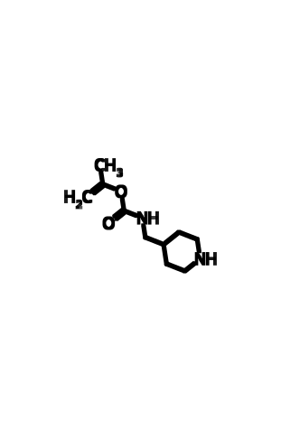 C=C(C)OC(=O)NCC1CCNCC1